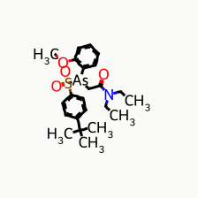 CCN(CC)C(=O)C[As](c1ccccc1OC)S(=O)(=O)c1ccc(C(C)(C)C)cc1